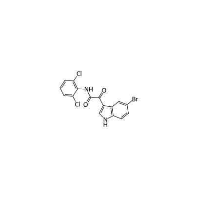 O=C(Nc1c(Cl)cccc1Cl)C(=O)c1c[nH]c2ccc(Br)cc12